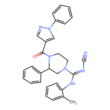 Cc1ccccc1N/C(=N/C#N)N1CCN(C(=O)c2cnn(-c3ccccc3)c2)C(c2ccccc2)C1